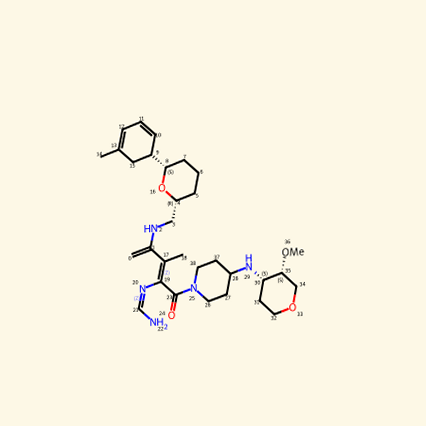 C=C(NC[C@H]1CCC[C@@H](C2C=CC=C(C)C2)O1)/C(C)=C(\N=C/N)C(=O)N1CCC(N[C@H]2CCOC[C@H]2OC)CC1